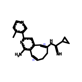 Cc1ccncc1-c1cc2c(c(N)n1)/C=C\CC/C(NC(=N)C1CC1)=C\2